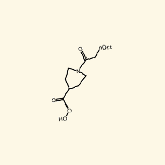 CCCCCCCCCC(=O)N1CCC(C(=O)OO)CC1